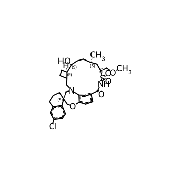 COC[C@@H]1C[C@@H](C)CC[C@H](O)[C@@H]2CCC2CN2C[C@@]3(CCCc4cc(Cl)ccc43)COc3ccc(cc32)C(=O)NS1(=O)=O